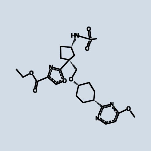 CCOC(=O)c1coc([C@@]2(CO[C@H]3CC[C@@H](c4nccc(OC)n4)CC3)CC[C@H](NS(C)(=O)=O)C2)n1